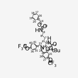 CC(C)(C)OC(=O)NC(CCCCNC(=O)OCc1ccccc1)C(=O)N(Cc1ccc(OC(F)(F)F)cc1)Cc1ccc(OC(F)(F)F)cc1